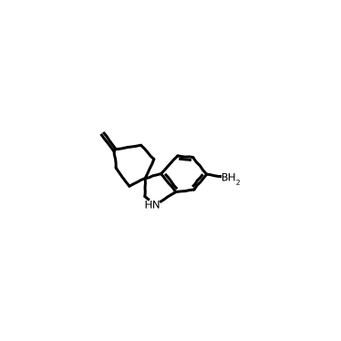 Bc1ccc2c(c1)NCC21CCC(=C)CC1